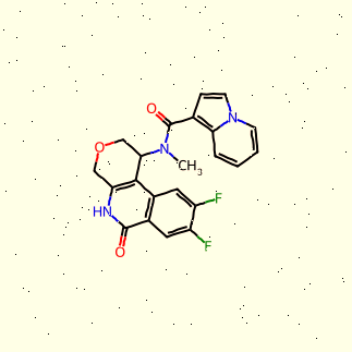 CN(C(=O)c1ccn2ccccc12)C1COCc2[nH]c(=O)c3cc(F)c(F)cc3c21